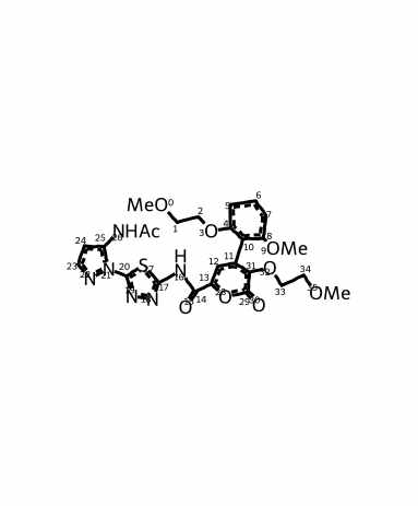 COCCOc1cccc(OC)c1-c1cc(C(=O)Nc2nnc(-n3nccc3NC(C)=O)s2)oc(=O)c1OCCOC